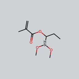 C=C(C)C(=O)OC(CC)[SiH](OC)OC